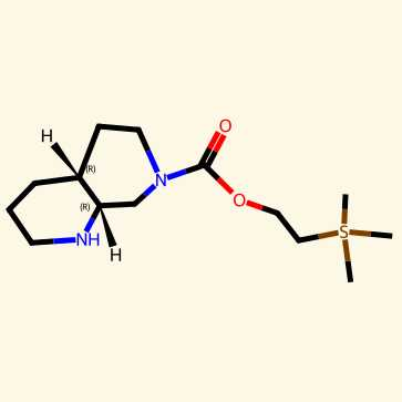 CS(C)(C)CCOC(=O)N1CC[C@H]2CCCN[C@H]2C1